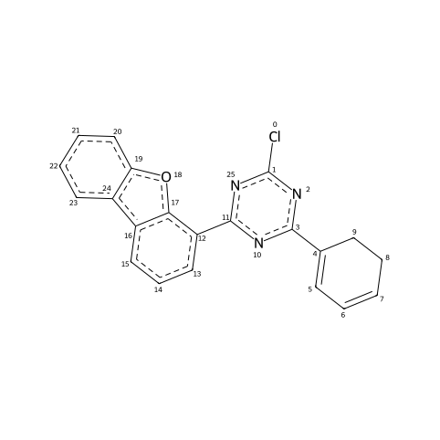 Clc1nc(C2=CC=CCC2)nc(-c2cccc3c2oc2ccccc23)n1